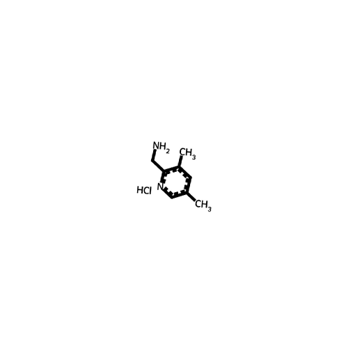 Cc1cnc(CN)c(C)c1.Cl